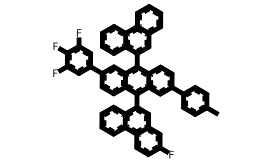 Cc1ccc(-c2ccc3c(-c4cc5ccccc5c5ccccc45)c4cc(-c5cc(F)c(F)c(F)c5)ccc4c(-c4cc5cc(F)ccc5c5ccccc45)c3c2)cc1